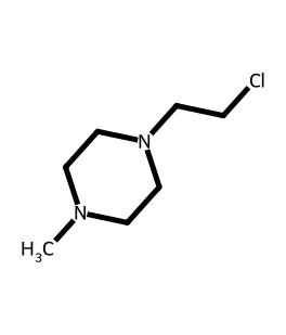 CN1CCN(CCCl)CC1